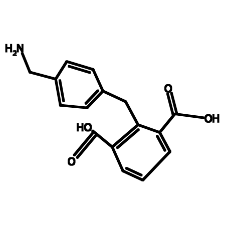 NCc1ccc(Cc2c(C(=O)O)cccc2C(=O)O)cc1